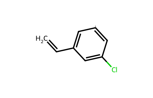 C=Cc1c[c]cc(Cl)c1